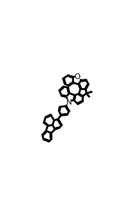 CC1(C)c2ccc3oc4ccccc4c3c2-c2c1ccc1c2c2ccccc2n1-c1ccc(C2=CC=C3c4ccccc4C4=CC=CC2C43)cc1